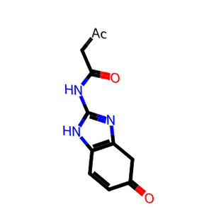 CC(=O)CC(=O)Nc1nc2c([nH]1)C=CC(=O)C2